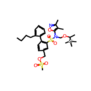 CCCCc1ccccc1-c1ccc(COS(C)(=O)=O)cc1S(=O)(=O)N(COC(C)[Si](C)(C)C)c1onc(C)c1C